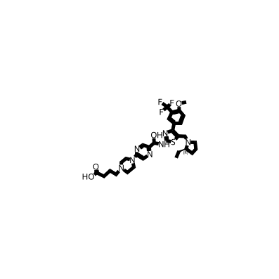 CC[C@@H]1CCCN1Cc1sc(NC(O)c2cnc(N3CCN(CCCC(=O)O)CC3)cn2)nc1-c1ccc(OC)c(C(F)(F)F)c1